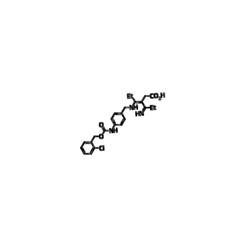 CCC(=N)/C(CC(=O)O)=C(/CC)NCc1ccc(NC(=O)OCc2ccccc2Cl)cc1